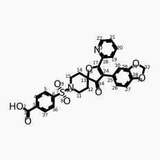 O=C(O)c1ccc(S(=O)(=O)N2CCC3(CC2)OC(c2ccccn2)=C(c2ccc4c(c2)OCO4)C3=O)cc1